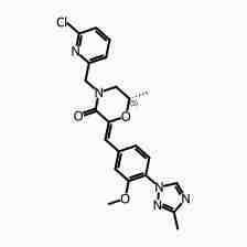 COc1cc(C=C2O[C@@H](C)CN(Cc3cccc(Cl)n3)C2=O)ccc1-n1cnc(C)n1